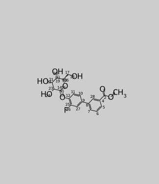 COC(=O)c1cccc(-c2ccc(O[C@H]3O[C@H](CO)[C@@H](O)C(O)C3O)c(F)c2)c1